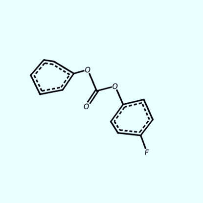 O=C(Oc1ccccc1)Oc1ccc(F)cc1